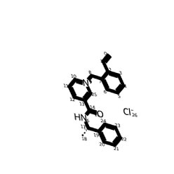 C=Cc1ccccc1C[n+]1cccc(C(=O)N[C@@H](C)c2ccccc2)c1.[Cl-]